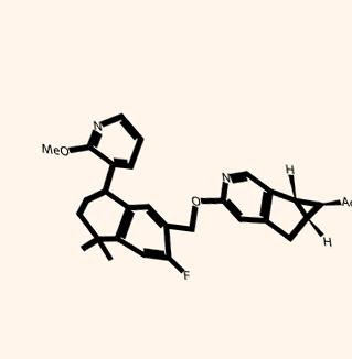 COc1ncccc1C1CCC(C)(C)c2cc(F)c(COc3cc4c(cn3)[C@H]3[C@@H](C4)[C@@H]3C(C)=O)cc21